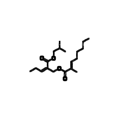 CCC=C(COC(=O)C(C)=CCCCCC)C(=O)OCC(C)C